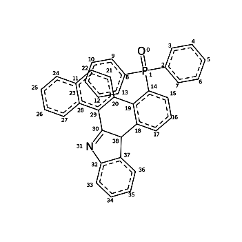 O=P(c1ccccc1)(c1ccccc1)c1cccc2c1-c1ccc3ccccc3c1C1=Nc3ccccc3C12